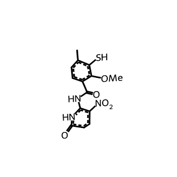 COc1c(C(=O)Nc2[nH]c(=O)ccc2[N+](=O)[O-])ccc(C)c1S